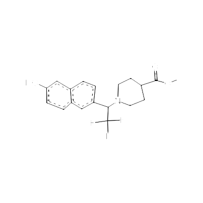 COC(=O)C1CCN(C(c2ccc3cc(O)ccc3c2)C(F)(F)F)CC1